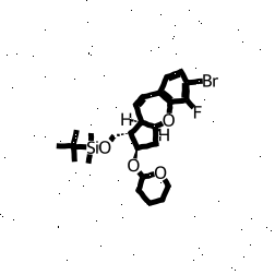 CC(C)(C)[Si](C)(C)OC[C@@H]1[C@H]2C=Cc3ccc(Br)c(F)c3O[C@H]2C[C@H]1OC1CCCCO1